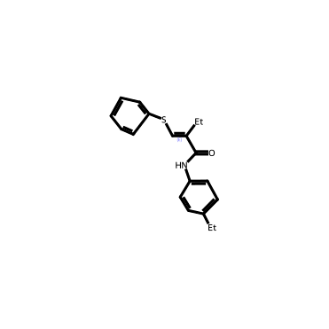 CC/C(=C\Sc1ccccc1)C(=O)Nc1ccc(CC)cc1